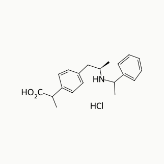 CC(N[C@H](C)Cc1ccc(C(C)C(=O)O)cc1)c1ccccc1.Cl